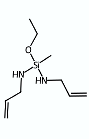 C=CCN[Si](C)(NCC=C)OCC